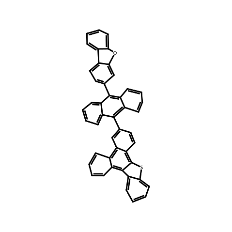 c1ccc2c(c1)oc1cc(-c3c4ccccc4c(-c4ccc5c(c4)c4ccccc4c4c6ccccc6sc54)c4ccccc34)ccc12